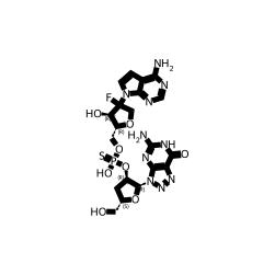 Nc1nc2c(nnn2[C@@H]2O[C@H](CO)C[C@H]2OP(O)(=S)OC[C@H]2OCC(F)(n3ccc4c(N)ncnc43)[C@@H]2O)c(=O)[nH]1